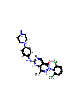 CCc1nn(-c2c(Cl)cccc2Cl)c(=O)c2cnc(Nc3ccc(N4CCNCC4)cc3)nc12